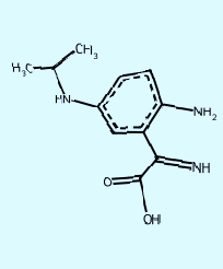 CC(C)Nc1ccc(N)c(C(=N)C(=O)O)c1